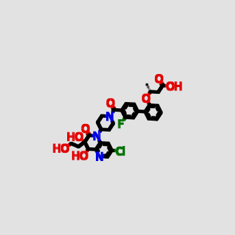 C[C@H](CC(=O)O)Oc1ccccc1-c1ccc(C(=O)N2CCC(N3C(=O)C(O)(CCO)C(O)c4ncc(Cl)cc43)CC2)c(F)c1